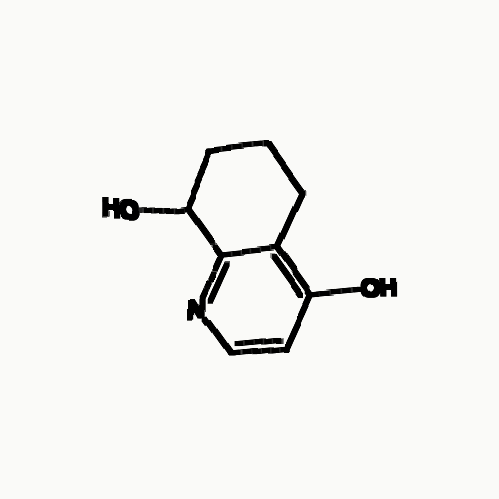 Oc1ccnc2c1CCCC2O